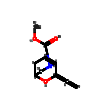 C=C=C1OC2CC=C1N(C(=O)OC(C)(C)C)C2